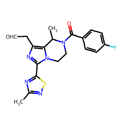 Cc1nsc(-c2nc(CC=O)c3n2CCN(C(=O)c2ccc(F)cc2)C3C)n1